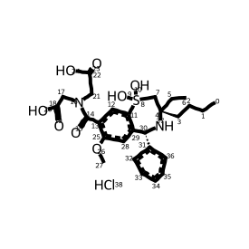 CCCC[C@]1(CC)CS(O)(O)c2cc(C(=O)N(CC(=O)O)CC(=O)O)c(OC)cc2[C@@H](c2ccccc2)N1.Cl